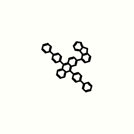 c1ccc(-c2ccc(-c3c4ccccc4c(-c4ccc(-c5ccccc5)cc4)c4cc(-c5cccc6c5-c5ccccc5C6)ccc34)cc2)cc1